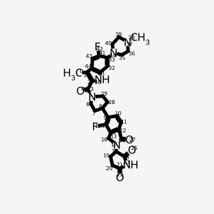 Cc1c(C(=O)N2CCC(c3ccc4c(c3F)CN(C3CCC(=O)NC3=O)C4=O)CC2)[nH]c2cc(N3CCN(C)CC3)c(F)cc12